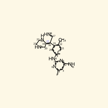 CNc1cc(C)nc(Nc2ccc(OC)c(/C(C=N)=C3\CNCCN3)c2)n1